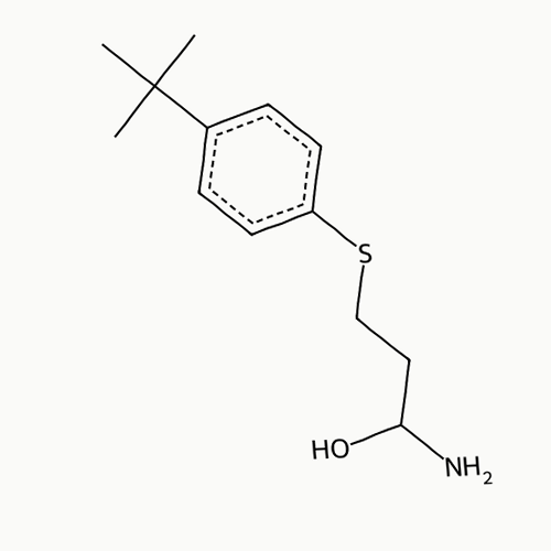 CC(C)(C)c1ccc(SCCC(N)O)cc1